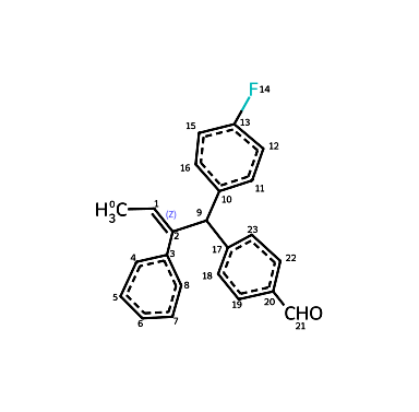 C/C=C(\c1ccccc1)C(c1ccc(F)cc1)c1ccc(C=O)cc1